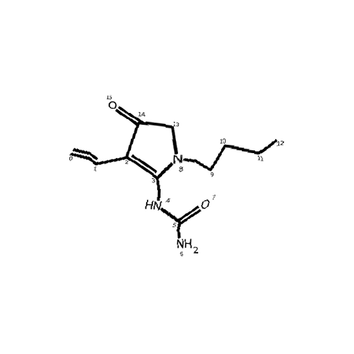 C=CC1=C(NC(N)=O)N(CCCC)CC1=O